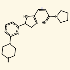 N=C(/C=C\C1=NCC(c2cccc(N3CCNCC3)n2)N1)N1CCCC1